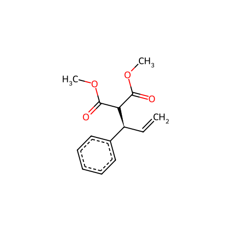 C=C[C@@H](c1ccccc1)C(C(=O)OC)C(=O)OC